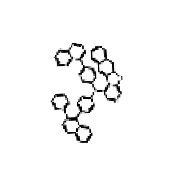 c1ccc(-c2ccc3ccccc3c2-c2ccc(N(c3ccc(-c4cccc5ccccc45)cc3)c3cncc4oc5cc6ccccc6cc5c34)cc2)cc1